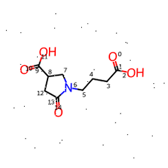 O=C(O)CCCN1CC(C(=O)O)CC1=O